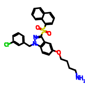 NCCCCOc1ccc2c(c1)c(S(=O)(=O)c1cccc3ccccc13)nn2Cc1cccc(Cl)c1